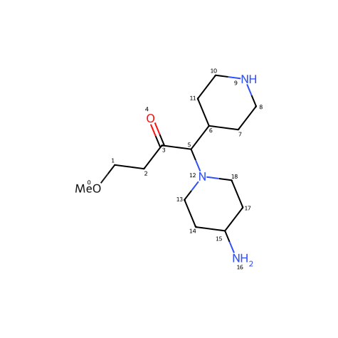 COCCC(=O)C(C1CCNCC1)N1CCC(N)CC1